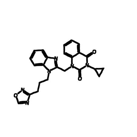 O=c1c2ccccc2n(Cc2nc3ccccc3n2CCCc2ncon2)c(=O)n1C1CC1